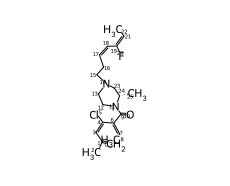 C=C(C)/C=C(Cl)\C(=C/C)C(=O)N1CCN(CC/C=C\C(F)=C/C)C[C@@H]1C